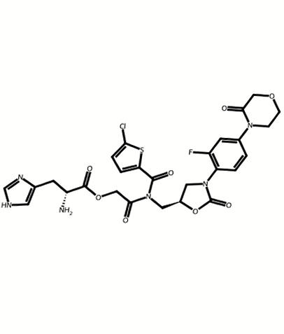 N[C@H](Cc1c[nH]cn1)C(=O)OCC(=O)N(C[C@H]1CN(c2ccc(N3CCOCC3=O)cc2F)C(=O)O1)C(=O)c1ccc(Cl)s1